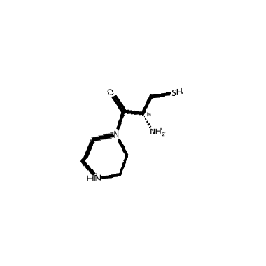 N[C@@H](CS)C(=O)N1CCNCC1